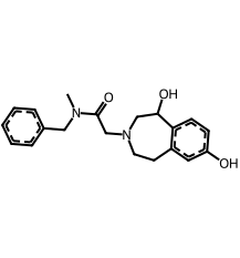 CN(Cc1ccccc1)C(=O)CN1CCc2cc(O)ccc2C(O)C1